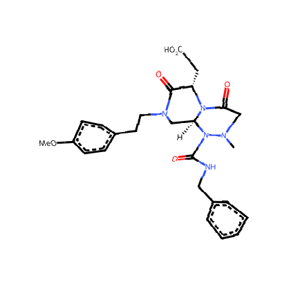 COc1ccc(CCN2C[C@H]3N(C(=O)CN(C)N3C(=O)NCc3ccccc3)[C@@H](CC(=O)O)C2=O)cc1